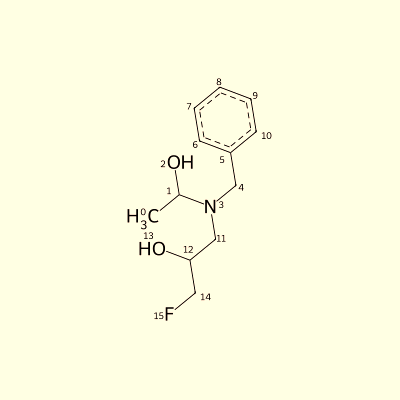 CC(O)N(Cc1ccccc1)CC(O)CF